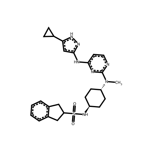 CN(c1nccc(Nc2cc(C3CC3)[nH]n2)n1)[C@H]1CC[C@H](NS(=O)(=O)C2Cc3ccccc3C2)CC1